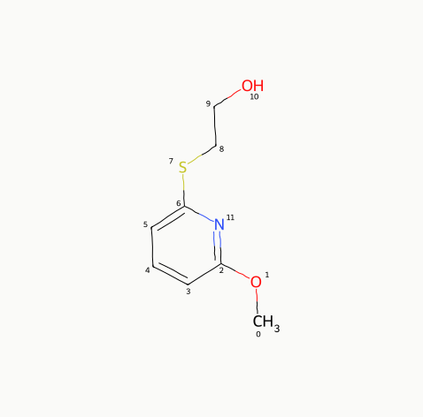 COc1cccc(SCCO)n1